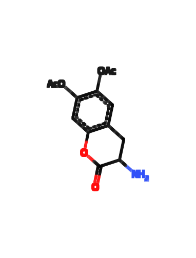 CC(=O)Oc1cc2c(cc1OC(C)=O)OC(=O)C(N)C2